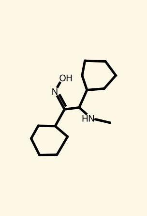 CNC(C(=NO)C1CCCCC1)C1CCCCC1